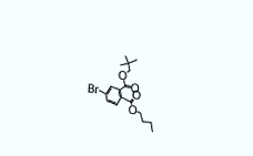 CCCCOC(=O)c1ccc(Br)cc1C(=O)OCC(C)(C)C